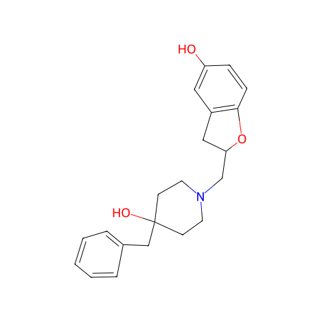 Oc1ccc2c(c1)CC(CN1CCC(O)(Cc3ccccc3)CC1)O2